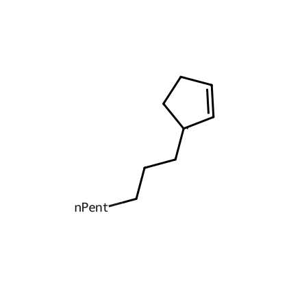 CCCCCCCC[C]1C=CCC1